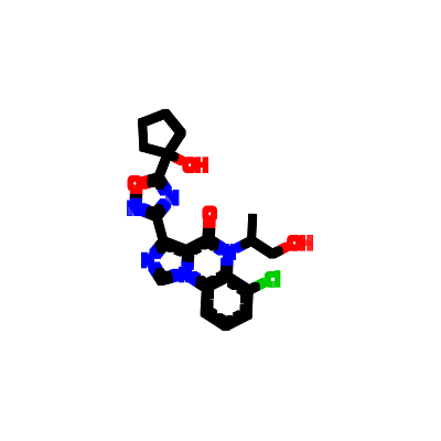 CC(CO)n1c(=O)c2c(-c3noc(C4(O)CCCC4)n3)ncn2c2cccc(Cl)c21